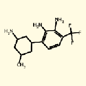 CC1CC(N)CC(c2ccc(C(F)(F)F)c(N)c2N)C1